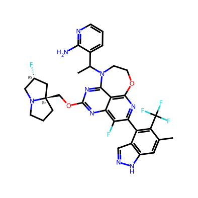 Cc1cc2[nH]ncc2c(-c2nc3c4c(nc(OC[C@@]56CCCN5C[C@H](F)C6)nc4c2F)N(C(C)c2cccnc2N)CCO3)c1C(F)(F)F